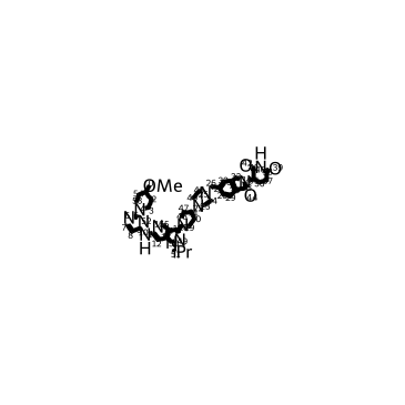 COC1CCN(c2nccc(Nc3cc4c(cn3)c(N3CCC(N5CCN(Cc6ccc7c(c6)CN(C6CCC(=O)NC6=O)C7=O)CC5)CC3)nn4C(C)C)n2)CC1